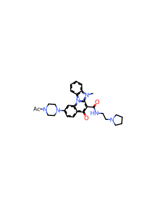 CC(=O)N1CCN(c2ccc3c(=O)c(C(=O)NCCN4CCCC4)c4n(C)c5ccccc5n4c3c2)CC1